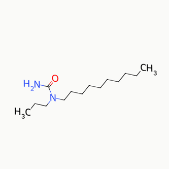 CCCCCCCCCCN(CCC)C(N)=O